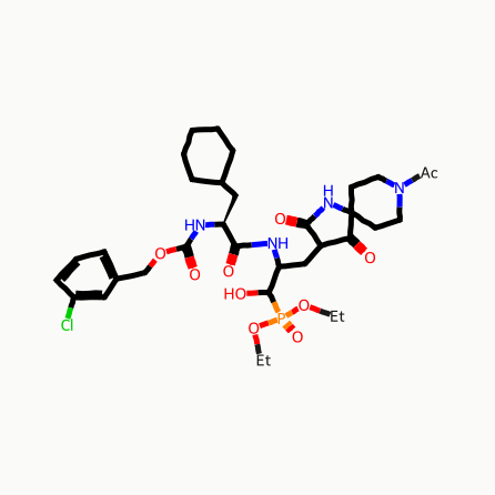 CCOP(=O)(OCC)C(O)C(CC1C(=O)NC2(CCN(C(C)=O)CC2)C1=O)NC(=O)[C@H](CC1CCCCC1)NC(=O)OCc1cccc(Cl)c1